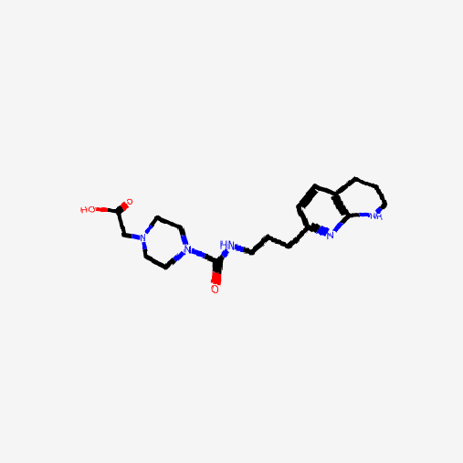 O=C(O)CN1CCN(C(=O)NCCCc2ccc3c(n2)NCCC3)CC1